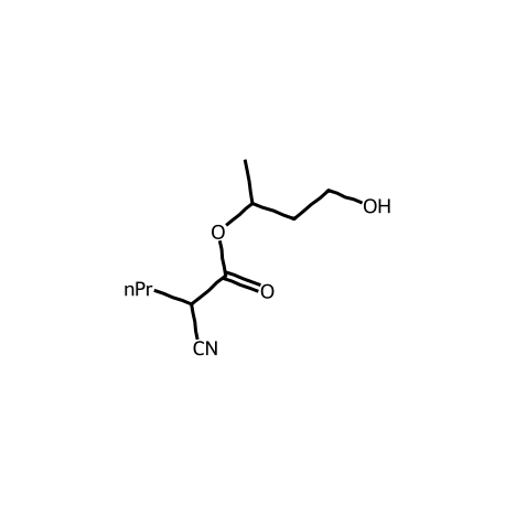 CCCC(C#N)C(=O)OC(C)CCO